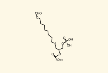 CCCCCCCCCCC(=O)O[C@H](COP(=O)(O)O)CSCCCCCCCCOC=O